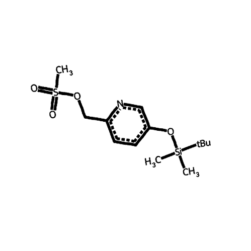 CC(C)(C)[Si](C)(C)Oc1ccc(COS(C)(=O)=O)nc1